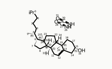 CC(C)CCC[C@@H](C)[C@H]1CC[C@H]2[C@@H]3CC=C4C[C@@H](O)CC[C@]4(C)[C@H]3CC[C@]12C.N=C=O.N=C=O